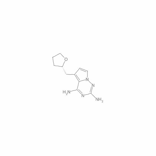 Nc1nc(N)c2c(C[C@@H]3CCCO3)ccn2n1